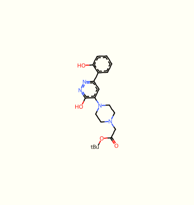 CC(C)(C)OC(=O)CN1CCN(c2cc(-c3ccccc3O)nnc2O)CC1